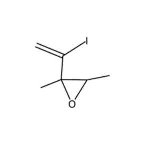 C=C(I)C1(C)OC1C